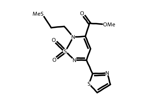 COC(=O)C1=CC(c2nccs2)=NS(=O)(=O)N1CCSC